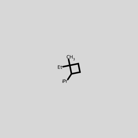 CCC1(C)CCC1C(C)C